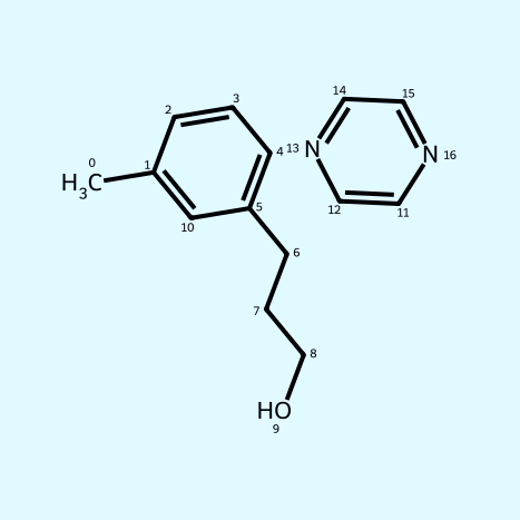 Cc1cccc(CCCO)c1.c1cnccn1